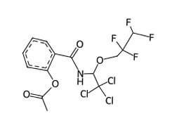 CC(=O)Oc1ccccc1C(=O)NC(OCC(F)(F)C(F)F)C(Cl)(Cl)Cl